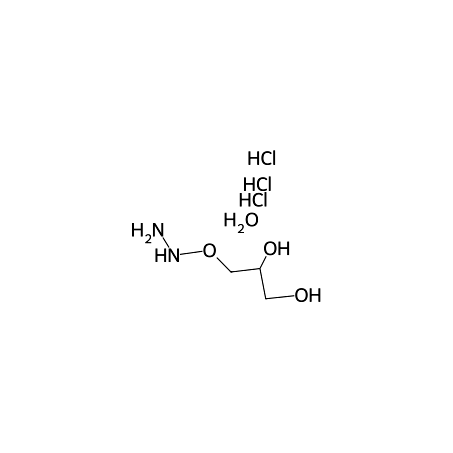 Cl.Cl.Cl.NNOCC(O)CO.O